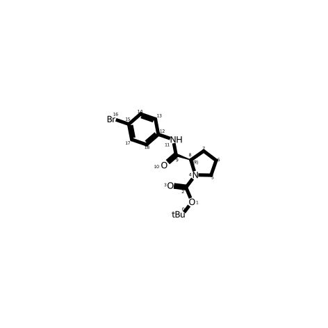 CC(C)(C)OC(=O)N1CCC[C@@H]1C(=O)Nc1ccc(Br)cc1